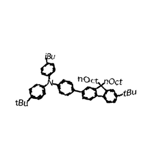 CCCCCCCCC1(CCCCCCCC)c2cc(-c3ccc(N(c4ccc(C(C)CC)cc4)c4ccc(C(C)(C)C)cc4)cc3)ccc2-c2ccc(C(C)(C)C)cc21